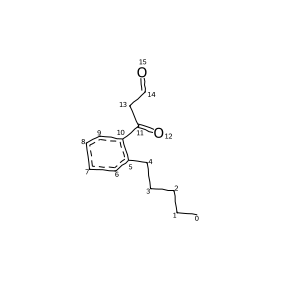 CCCCCc1ccccc1C(=O)CC=O